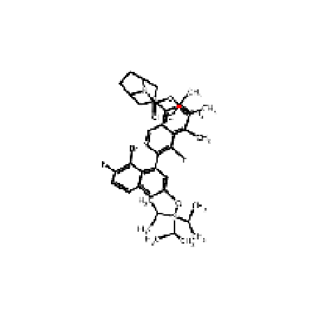 Cc1nc(N2CC3CCC(C2)N3C(=O)OC(C)(C)C)c2cnc(-c3cc(O[Si](C(C)C)(C(C)C)C(C)C)cc4ccc(F)c(Br)c34)c(F)c2c1C